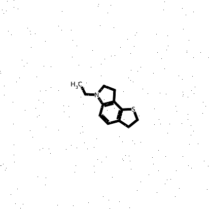 CCN1CCc2c1ccc1c2SCC1